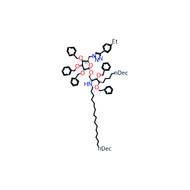 CCCCCCCCCCCCCCCCCCCCCCCCCCN[C@@H](CO[C@H]1O[C@H](Cn2cc(-c3ccc(CC)cc3)nn2)[C@H](OCc2ccccc2)[C@H](OCc2ccccc2)[C@H]1OCc1ccccc1)[C@H](OCc1ccccc1)[C@@H](CCCCCCCCCCCCCC)OCc1ccccc1